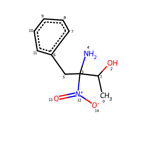 CC(O)C(N)(Cc1ccccc1)[N+](=O)[O-]